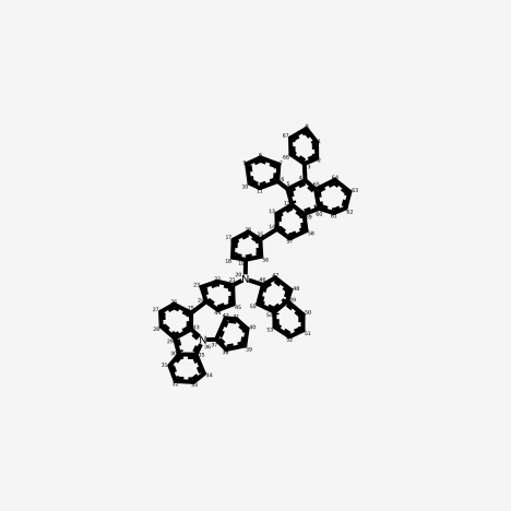 c1ccc(-c2c(-c3ccccc3)c3cc(-c4cccc(N(c5ccc(-c6cccc7c8ccccc8n(-c8ccccc8)c67)cc5)c5ccc6ccccc6c5)c4)ccc3c3ccccc23)cc1